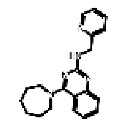 c1ccc(CNc2nc(N3CCCCCC3)c3ccccc3n2)nc1